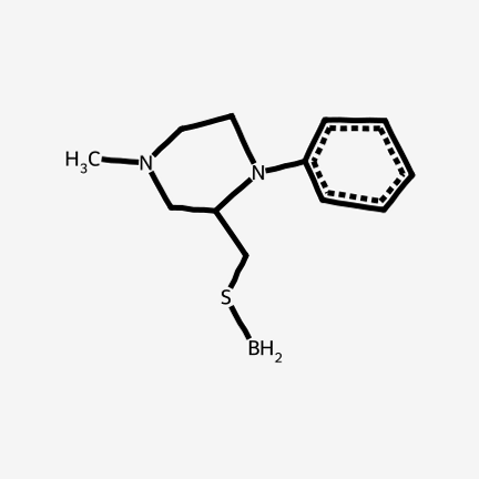 BSCC1CN(C)CCN1c1ccccc1